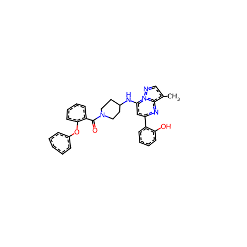 Cc1cnn2c(NC3CCN(C(=O)c4ccccc4Oc4ccccc4)CC3)cc(-c3ccccc3O)nc12